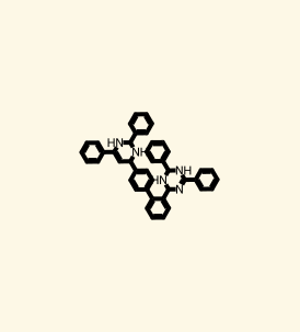 C1=C(c2ccccc2)NC(c2ccccc2)NC1c1ccc(-c2ccccc2C2N=C(c3ccccc3)NC(c3ccccc3)N2)cc1